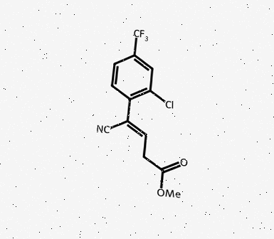 COC(=O)CC=C(C#N)c1ccc(C(F)(F)F)cc1Cl